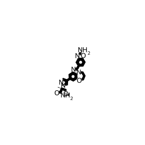 COC[C@@](C)(C(N)=O)n1cc(-c2cc3c4c(c2)nc(-c2ccc5oc(N)nc5c2)n4CCCO3)cn1